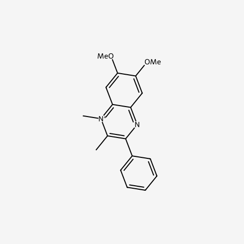 COc1cc2nc(-c3ccccc3)c(C)[n+](C)c2cc1OC